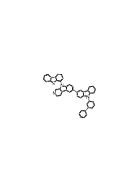 c1ccc(-c2cccc(-n3c4ccccc4c4cc(-c5ccc6c(c5)c5ccncc5n6-c5cccc6c5sc5ccccc56)ccc43)c2)cc1